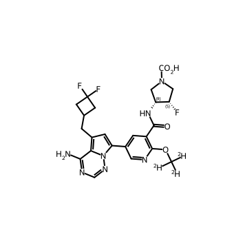 [2H]C([2H])([2H])Oc1ncc(-c2cc(CC3CC(F)(F)C3)c3c(N)ncnn23)cc1C(=O)N[C@@H]1CN(C(=O)O)C[C@@H]1F